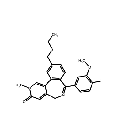 CCSCc1ccc2c(c1)-c1cn(C)c(=O)cc1CN=C2c1ccc(F)c(OC)c1